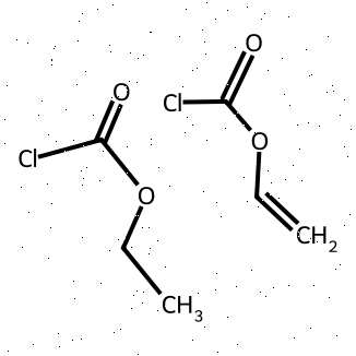 C=COC(=O)Cl.CCOC(=O)Cl